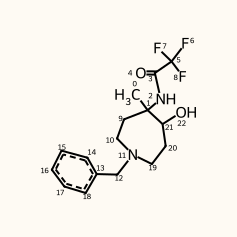 CC1(NC(=O)C(F)(F)F)CCN(Cc2ccccc2)CCC1O